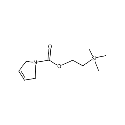 C[Si](C)(C)CCOC(=O)N1CC=CC1